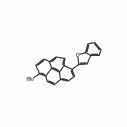 CC(C)(C)c1ccc2ccc3c(-c4cc5ccccc5o4)ccc4ccc1c2c43